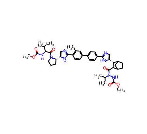 COC(=O)N[C@H](C(=O)N1CCC[C@H]1c1cnc(-c2ccc(-c3ccc(-c4ncc([C@@H]5C6CCC(C6)C5C(=O)N(NC(=O)OC)C(C)C)[nH]4)cc3)cc2C)[nH]1)C(C)C